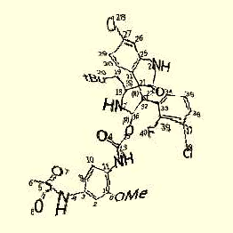 COc1cc(NS(C)(=O)=O)ccc1NC(=O)O[C@H]1N[C@@H](CC(C)(C)C)[C@@]2(C(=O)Nc3cc(Cl)ccc32)[C@H]1c1cccc(Cl)c1F